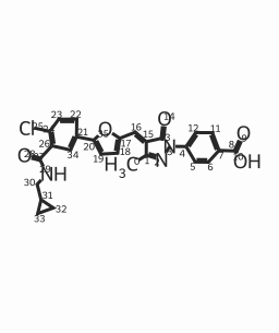 CC1=NN(c2ccc(C(=O)O)cc2)C(=O)/C1=C/c1ccc(-c2ccc(Cl)c(C(=O)NCC3CC3)c2)o1